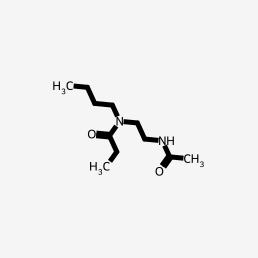 CCCCN(CCNC(C)=O)C(=O)CC